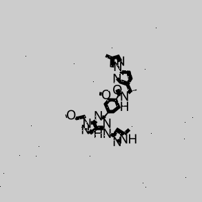 COCCn1ncc2c(Nc3cc(C)[nH]n3)nc([C@@H]3CC[C@H](C(=O)N[C@@H](C)c4ccc(-n5cc(C)cn5)nc4)[C@@H](OC)C3)nc21